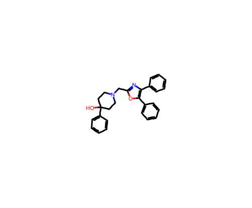 OC1(c2ccccc2)CCN(Cc2nc(-c3ccccc3)c(-c3ccccc3)o2)CC1